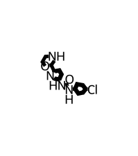 O=C(Nc1ccc(Cl)cc1)Nc1ccc(C2CNCCO2)nc1